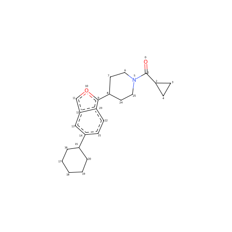 O=C(C1CC1)N1CCC(c2occ3cc(C4CCCCC4)ccc23)CC1